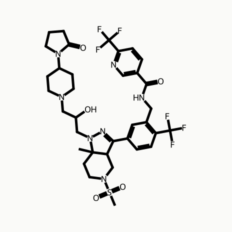 CC12CCN(S(C)(=O)=O)CC1C(c1ccc(C(F)(F)F)c(CNC(=O)c3ccc(C(F)(F)F)nc3)c1)=NN2CC(O)CN1CCC(N2CCCC2=O)CC1